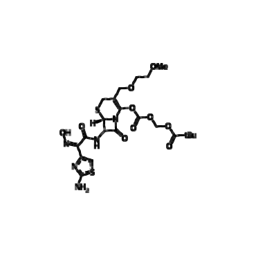 COCCOCC1=C(OC(=O)OCOC(=O)C(C)(C)C)N2C(=O)C(NC(=O)/C(=N\O)c3csc(N)n3)[C@@H]2SC1